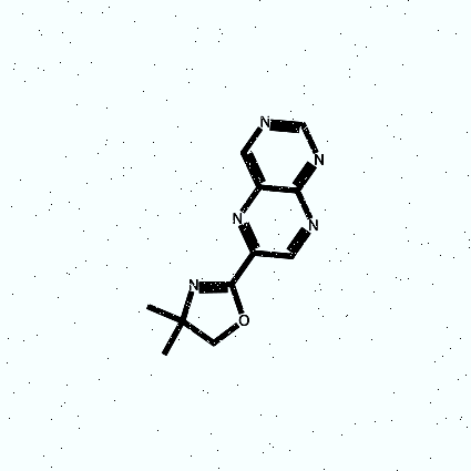 CC1(C)COC(c2cnc3ncncc3n2)=N1